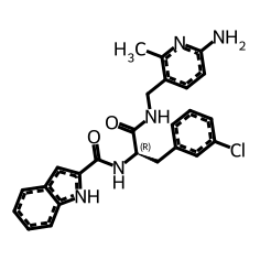 Cc1nc(N)ccc1CNC(=O)[C@@H](Cc1cccc(Cl)c1)NC(=O)c1cc2ccccc2[nH]1